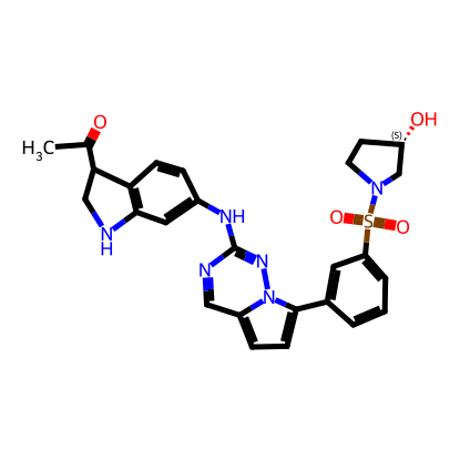 CC(=O)C1CNc2cc(Nc3ncc4ccc(-c5cccc(S(=O)(=O)N6CC[C@H](O)C6)c5)n4n3)ccc21